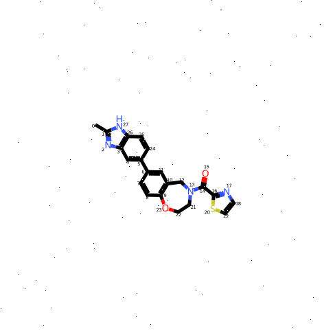 Cc1nc2cc(-c3ccc4c(c3)CN(C(=O)c3nccs3)CCO4)ccc2[nH]1